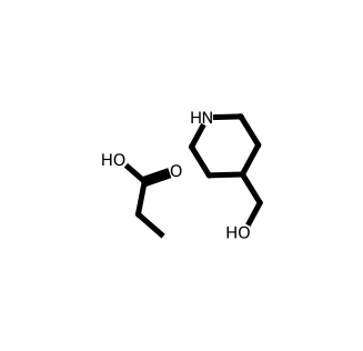 CCC(=O)O.OCC1CCNCC1